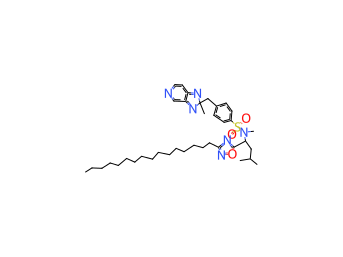 CCCCCCCCCCCCCCCCc1noc(C(CC(C)C)N(C)S(=O)(=O)c2ccc(CC3(C)N=c4ccncc4=N3)cc2)n1